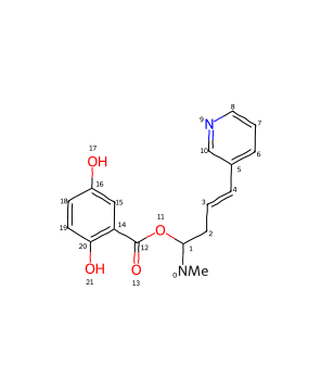 CNC(C/C=C/c1cccnc1)OC(=O)c1cc(O)ccc1O